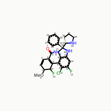 COC1C=CC(C(N)=O)=C(c2c(Cl)c(F)cc3c2C[C@](c2ccccc2)([C@@H]2CCCN2)N3)C1F